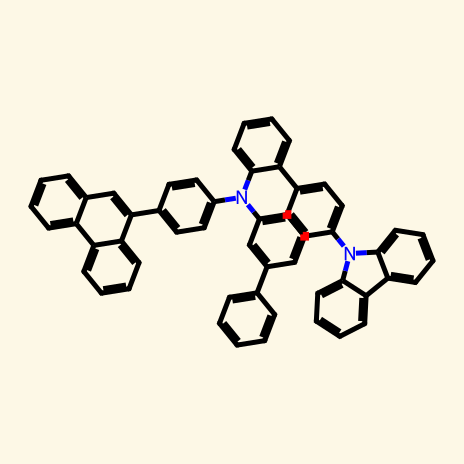 c1ccc(-c2cccc(N(c3ccc(-c4cc5ccccc5c5ccccc45)cc3)c3ccccc3-c3ccc(-n4c5ccccc5c5ccccc54)cc3)c2)cc1